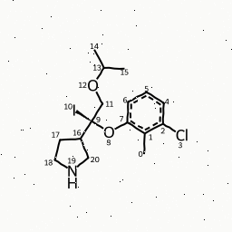 Cc1c(Cl)cccc1O[C@@](I)(COC(C)C)C1CCNC1